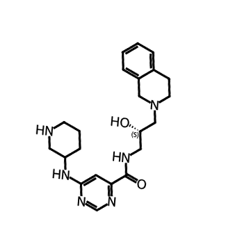 O=C(NC[C@H](O)CN1CCc2ccccc2C1)c1cc(NC2CCCNC2)ncn1